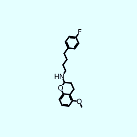 COc1cccc2c1CCC(NCCCCc1ccc(F)cc1)O2